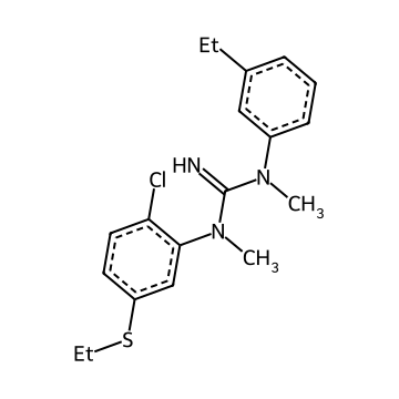 CCSc1ccc(Cl)c(N(C)C(=N)N(C)c2cccc(CC)c2)c1